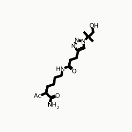 CC(=O)C(CCCCNC(=O)CCc1cn(C(C)(C)CO)nn1)C(N)=O